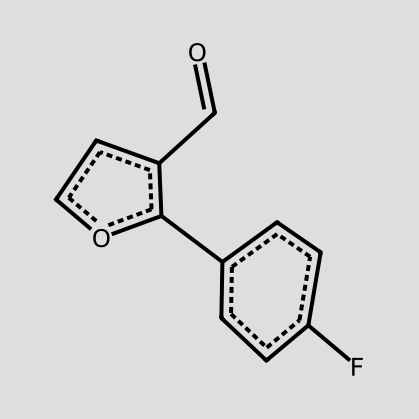 O=Cc1ccoc1-c1ccc(F)cc1